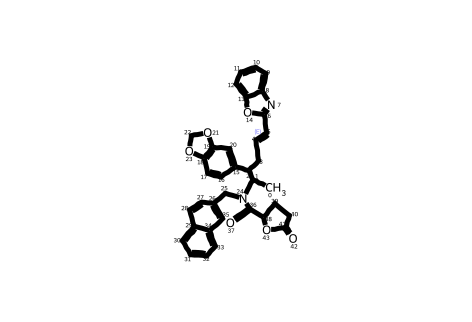 CC(C(C/C=C/c1nc2ccccc2o1)c1ccc2c(c1)OCO2)N(Cc1ccc2ccccc2c1)C(=O)C1CCC(=O)O1